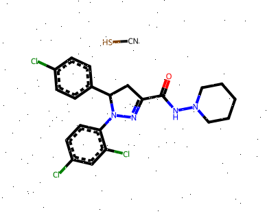 N#CS.O=C(NN1CCCCC1)C1=NN(c2ccc(Cl)cc2Cl)C(c2ccc(Cl)cc2)C1